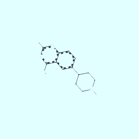 Cc1nc(O)c2cc(C3CCN(C(=O)O)CC3)ccc2n1